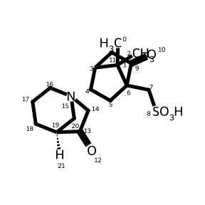 CC1(C)C2CCC1(CS(=O)(=O)O)C(=O)C2.O=C1CN2CCC[C@H]1C2